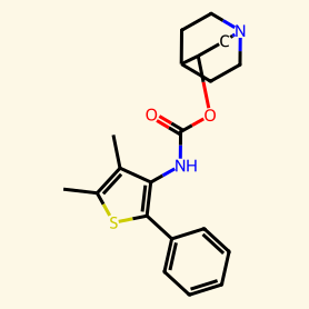 Cc1sc(-c2ccccc2)c(NC(=O)OC2CN3CCC2CC3)c1C